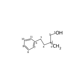 C=C(CO)CCc1ccccc1